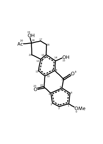 COc1ccc2c(c1)C(=O)c1c(cc3c(c1O)CCC(O)(C(C)=O)C3)C2=O